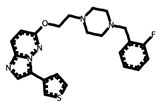 Fc1ccccc1CN1CCN(CCOc2ccc3ncc(-c4ccsc4)n3n2)CC1